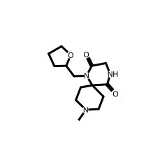 CN1CCC2(CC1)C(=O)NCC(=O)N2CC1CCCO1